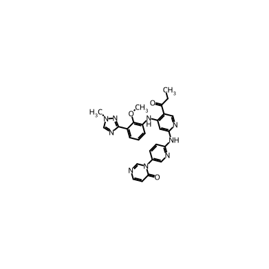 CCC(=O)c1cnc(Nc2ccc(-n3cnccc3=O)cn2)cc1Nc1cccc(-c2ncn(C)n2)c1OC